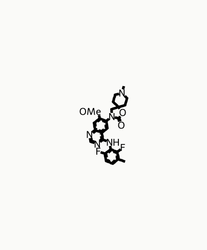 COc1cc2ncnc(Nc3c(F)ccc(C)c3F)c2cc1N1CC2(CCN(C)CC2)OC1=O